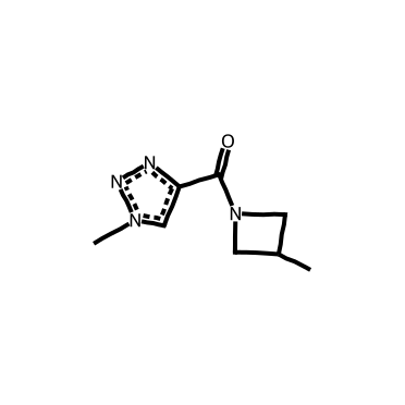 CC1CN(C(=O)c2cn(C)nn2)C1